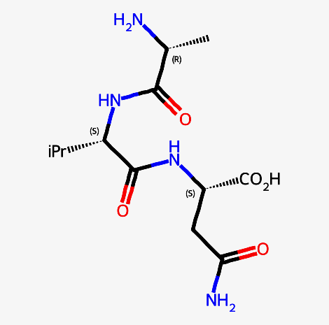 CC(C)[C@H](NC(=O)[C@@H](C)N)C(=O)N[C@@H](CC(N)=O)C(=O)O